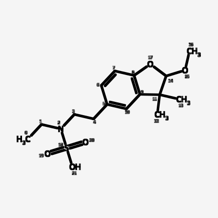 CCN(CCc1ccc2c(c1)C(C)(C)C(OC)O2)S(=O)(=O)O